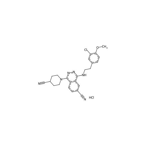 COc1ccc(CCNc2nnc(N3CCC(C#N)CC3)c3ccc(C#N)cc23)cc1Cl.Cl